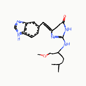 COCC(CC(C)C)NC1=N/C(=C\c2ccc3[nH]cnc3c2)C(=O)N1